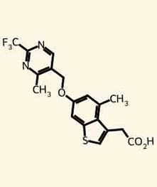 Cc1nc(C(F)(F)F)ncc1COc1cc(C)c2c(CC(=O)O)csc2c1